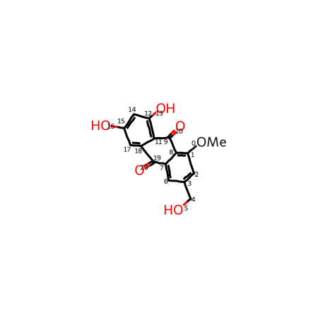 COc1cc(CO)cc2c1C(=O)c1c(O)cc(O)cc1C2=O